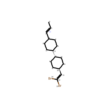 C/C=C/C1CCC([C@H]2CC[C@H](C=C(Br)Br)CC2)CC1